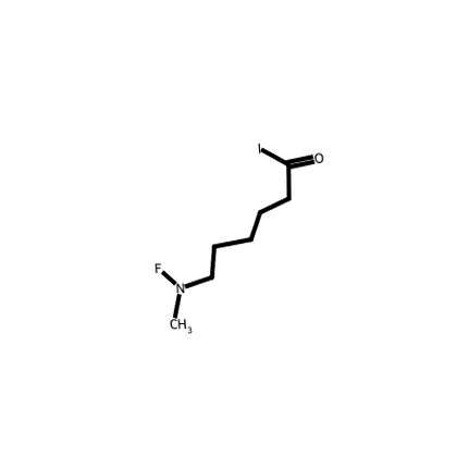 CN(F)CCCCCC(=O)I